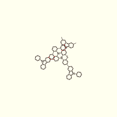 Cc1ccc2c(c1)c1cc(C)ccc1n2-c1cc2c3c(c1)N(c1c(-c4ccccc4)cccc1-c1ccccc1)c1cc(-c4ccc5c(c4)c4ccccc4n5-c4ccccc4)ccc1B3c1ccc(-c3ccc4c(c3)c3ccccc3n4-c3ccccc3)cc1S2